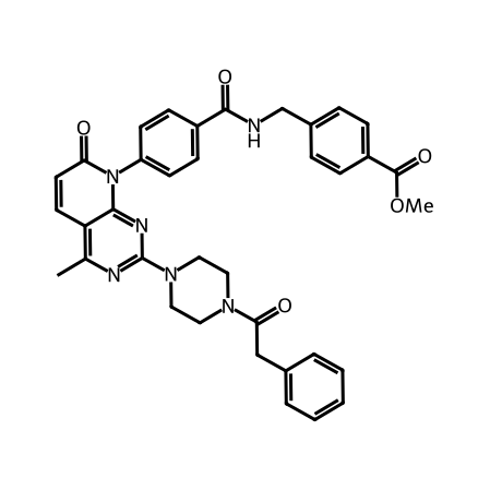 COC(=O)c1ccc(CNC(=O)c2ccc(-n3c(=O)ccc4c(C)nc(N5CCN(C(=O)Cc6ccccc6)CC5)nc43)cc2)cc1